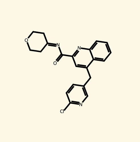 O=C(N=C1CCOCC1)c1cc(Cc2ccc(Cl)nc2)c2ccccc2n1